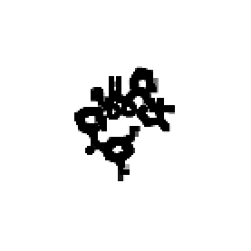 CC1CCN(c2ncccc2C(=O)NS(=O)(=O)c2cccc(N(C)c3cc(F)cc(F)c3)n2)C1(C)C